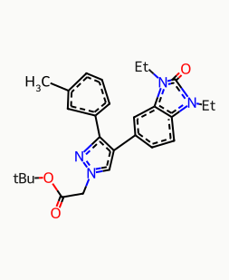 CCn1c(=O)n(CC)c2cc(-c3cn(CC(=O)OC(C)(C)C)nc3-c3cccc(C)c3)ccc21